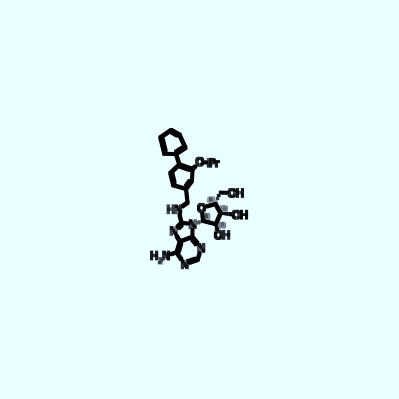 CC(C)Oc1cc(CNc2nc3c(N)ncnc3n2[C@@H]2O[C@H](CO)[C@@H](O)[C@H]2O)ccc1-c1ccccc1